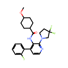 COC1CCC(C(=O)Nc2c(-c3ccccc3F)ccnc2N2CCC(F)(F)C2)CC1